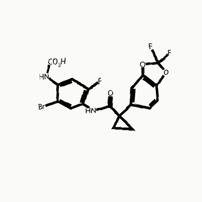 O=C(O)Nc1cc(F)c(NC(=O)C2(c3ccc4c(c3)OC(F)(F)O4)CC2)cc1Br